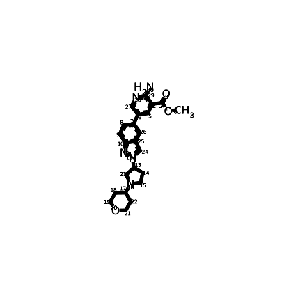 COC(=O)c1cc(-c2ccc3nn(C4CCN(C5CCOCC5)C4)cc3c2)cnc1N